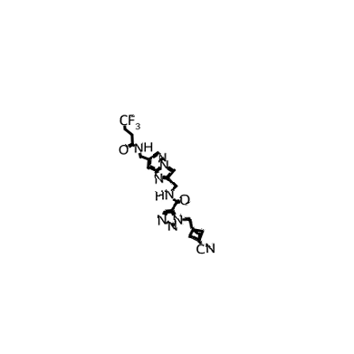 N#CC12CC(Cn3nncc3C(=O)NCc3cn4ncc(CNC(=O)CCC(F)(F)F)cc4n3)(C1)C2